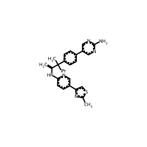 C=C(Nc1ccc(-c2csc(C)n2)cn1)C(C)(c1ccc(-c2cnc(N)nc2)cc1)C(C)C